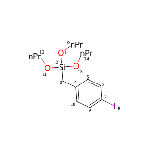 CCCO[Si](Cc1ccc(I)cc1)(OCCC)OCCC